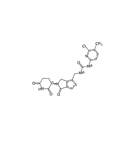 Cc1ccc(NC(=O)NCc2scc3c2CN([C@@H]2CCC(=O)NC2=O)C3=O)nc1Cl